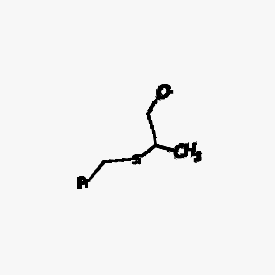 CC(C)CSC(C)C[O]